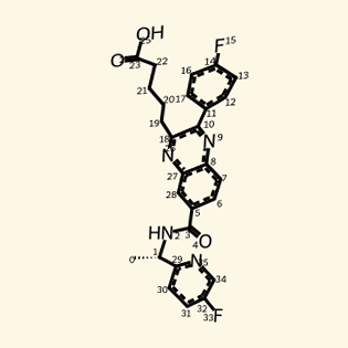 C[C@H](NC(=O)c1ccc2nc(-c3ccc(F)cc3)c(CCCCC(=O)O)nc2c1)c1ccc(F)cn1